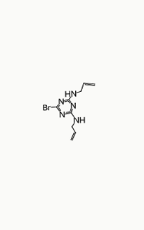 C=CCNc1nc(Br)nc(NCC=C)n1